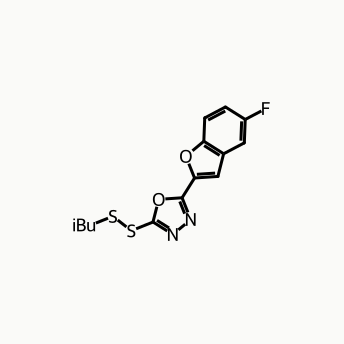 CCC(C)SSc1nnc(-c2cc3cc(F)ccc3o2)o1